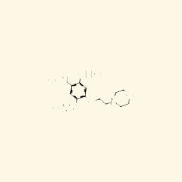 COc1cc([N+](=O)[O-])c(C=O)cc1OCCN1CCOCC1